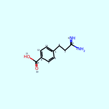 N=C(N)CCc1ccc(C(=O)O)cc1